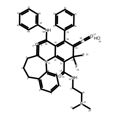 C=C1CCCc2ccccc2N1C1=C(C(=O)NCCN(C)C)C(F)(F)C(=C=O)C(c2ccccc2)=C1C(=O)Nc1ccccc1.Cl